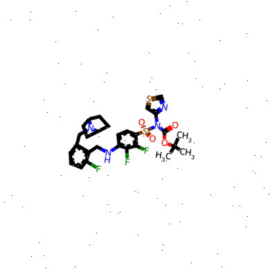 CC(C)(C)OC(=O)N(c1cscn1)S(=O)(=O)c1ccc(NCc2c(F)cccc2CN2C3CCC2CC3)c(F)c1F